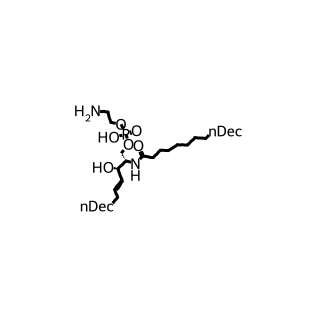 CCCCCCCCCCC/C=C/[C@@H](O)[C@H](COP(=O)(O)OCCN)NC(=O)CCCCCCCCCCCCCCCCC